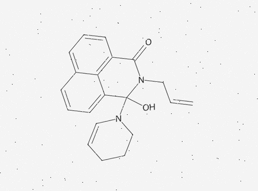 C=CCN1C(=O)c2cccc3cccc(c23)C1(O)N1C=CCCC1